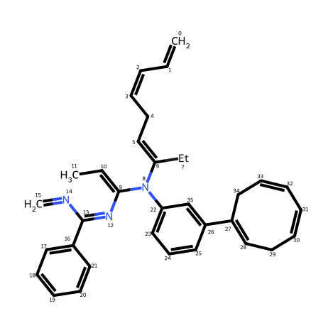 C=C/C=C\C/C=C(\CC)N(C(=C/C)/N=C(\N=C)c1ccccc1)c1cccc(/C2=C/C/C=C\C=C/C2)c1